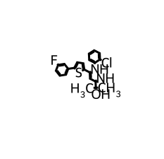 CC(C)(O)C(=N)/C=C(\Nc1ccccc1Cl)c1ccc(-c2cccc(F)c2)s1